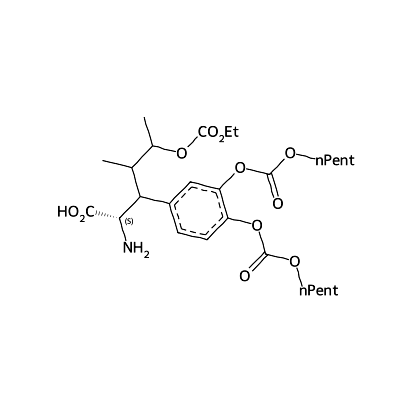 CCCCCOC(=O)Oc1ccc(C(C(C)C(C)OC(=O)OCC)[C@H](N)C(=O)O)cc1OC(=O)OCCCCC